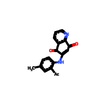 CC(=O)c1cc(C)ccc1NC1=CC(=O)c2ncccc2C1=O